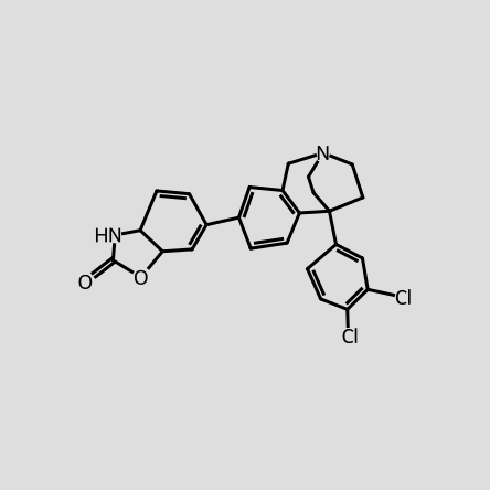 O=C1NC2C=CC(c3ccc4c(c3)CN3CCC4(c4ccc(Cl)c(Cl)c4)CC3)=CC2O1